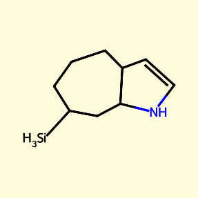 [SiH3]C1CCCC2C=CNC2C1